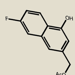 CC(=O)OCc1cc(O)c2ccc(F)cc2c1